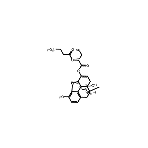 CC(=O)C[C@H](OC(=O)CCC(=O)O)C(=O)OC1=CC[C@@]2(O)[C@H]3Cc4ccc(O)c5c4[C@@]2(CCN3C)[C@H]1O5